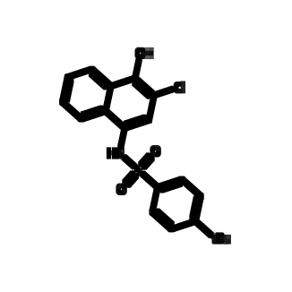 CC(C)(C)c1ccc(S(=O)(=O)Nc2cc(Cl)c(O)c3ccccc23)cc1